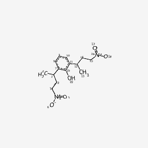 CC(CC[N+](=O)[O-])c1cccc(C(C)CC[N+](=O)[O-])c1O